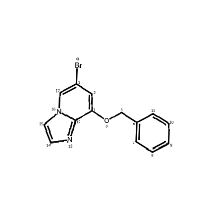 Brc1cc(OCc2ccccc2)c2nccn2c1